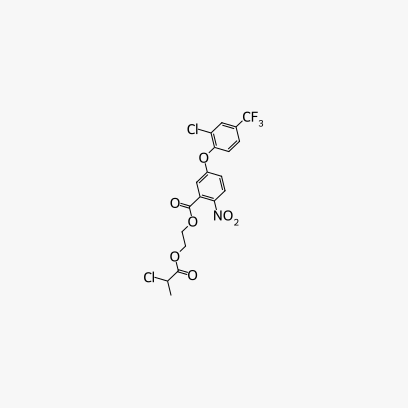 CC(Cl)C(=O)OCCOC(=O)c1cc(Oc2ccc(C(F)(F)F)cc2Cl)ccc1[N+](=O)[O-]